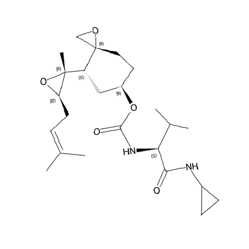 CC(C)=CC[C@H]1O[C@]1(C)[C@H]1C[C@H](OC(=O)N[C@H](C(=O)NC2CC2)C(C)C)CC[C@]12CO2